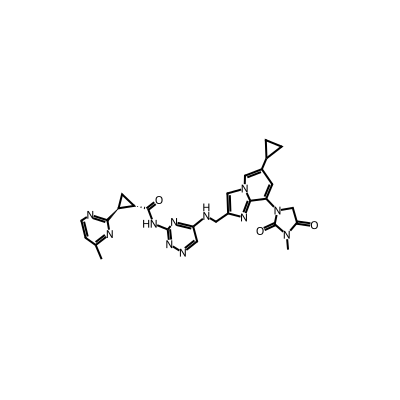 Cc1ccnc([C@H]2C[C@@H]2C(=O)Nc2nncc(NCc3cn4cc(C5CC5)cc(N5CC(=O)N(C)C5=O)c4n3)n2)n1